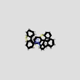 C1=CCC2C(=C1)SC1=C(CCC=C1)C21C2=C(C=CCC2Nc2cccc3sc4ccccc4c23)c2ccccc21